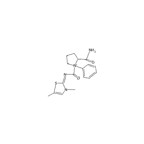 Cc1cn(C)c(=NC(=O)[N+]2(c3ccccc3)CCCC2C(N)=O)s1